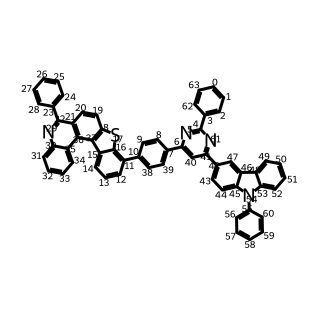 c1ccc(-c2nc(-c3ccc(-c4cccc5c4sc4ccc6c(-c7ccccc7)nc7ccccc7c6c45)cc3)cc(-c3ccc4c(c3)c3ccccc3n4-c3ccccc3)n2)cc1